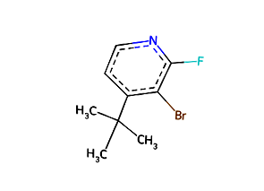 CC(C)(C)c1ccnc(F)c1Br